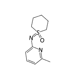 Cc1cccc(N=S2(=O)CCCCC2)n1